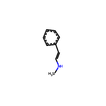 [SiH3]NC=Cc1ccccc1